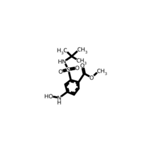 COC(=O)c1ccc(NO)cc1S(=O)(=O)NC(C)(C)C